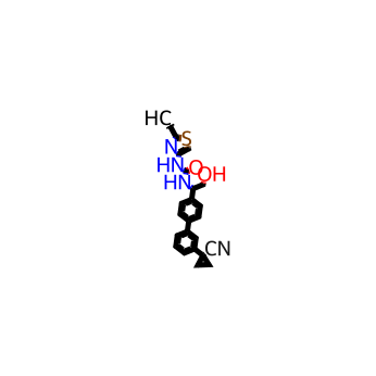 C#Cc1nc(NC(=O)NC(CO)c2ccc(-c3cccc(C4(C#N)CC4)c3)cc2)cs1